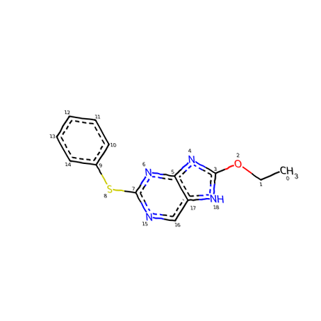 CCOc1nc2nc(Sc3ccccc3)ncc2[nH]1